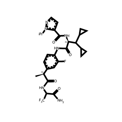 CC(C)n1nccc1C(=O)N[C@H](C(=O)Nc1ccc([C@H](C)C(=O)NC(C(N)=O)C(F)(F)F)cc1F)C(C1CC1)C1CC1